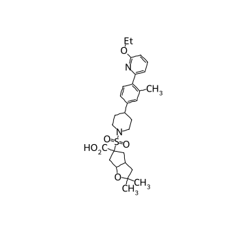 CCOc1cccc(-c2ccc(C3CCN(S(=O)(=O)C4(C(=O)O)CC5CC(C)(C)OC5C4)CC3)cc2C)n1